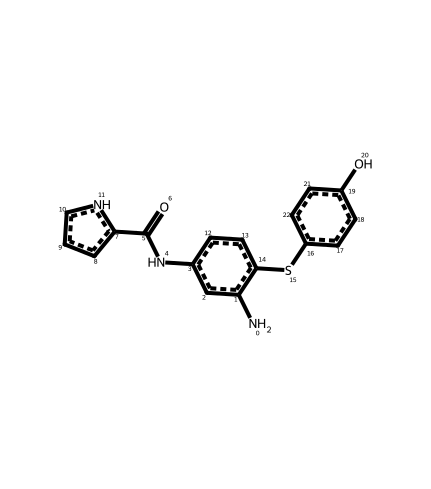 Nc1cc(NC(=O)c2ccc[nH]2)ccc1Sc1ccc(O)cc1